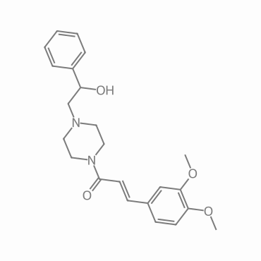 COc1ccc(C=CC(=O)N2CCN(CC(O)c3ccccc3)CC2)cc1OC